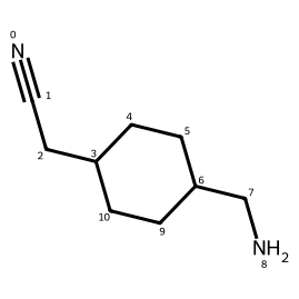 N#CCC1CCC(CN)CC1